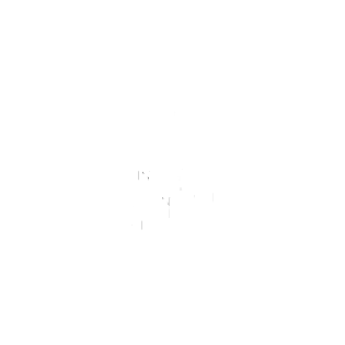 CCC(NCCCO)NC(=O)O